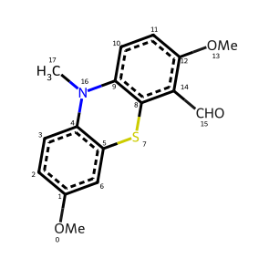 COc1ccc2c(c1)Sc1c(ccc(OC)c1C=O)N2C